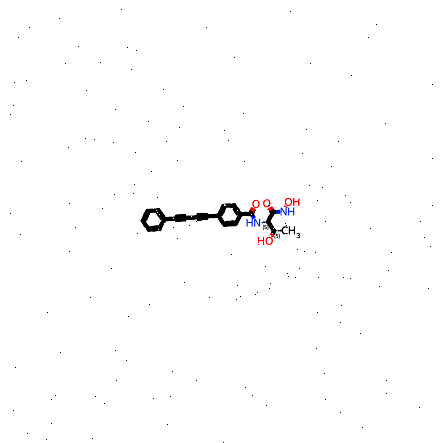 C[C@H](O)[C@H](NC(=O)c1ccc(C#CC#Cc2ccccc2)cc1)C(=O)NO